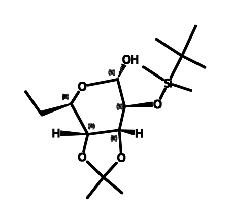 CC[C@H]1O[C@H](O)[C@@H](O[Si](C)(C)C(C)(C)C)[C@@H]2OC(C)(C)O[C@@H]21